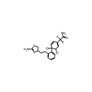 NC(=O)C(F)(F)C1=CC(Cl)C(Cl)(c2ccccc2CCC2COC(N)=N2)C=C1